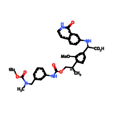 COc1cc(C(Nc2ccc3cc[nH]c(=O)c3c2)C(=O)O)ccc1[C@@H](C)COC(=O)Nc1cccc(CN(C)C(=O)OC(C)(C)C)c1